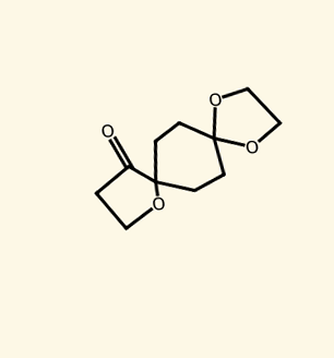 O=C1CCOC12CCC1(CC2)OCCO1